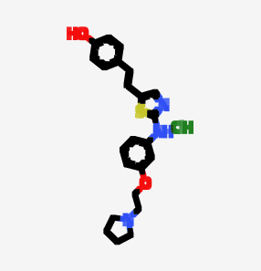 Cl.Oc1ccc(C=Cc2cnc(Nc3cccc(OCCN4CCCC4)c3)s2)cc1